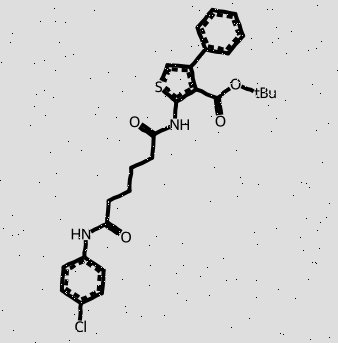 CC(C)(C)OC(=O)c1c(-c2ccccc2)csc1NC(=O)CCCCC(=O)Nc1ccc(Cl)cc1